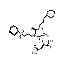 CC(C)N(CCCS(=O)(=O)c1ccccc1)C(=O)NCCCN1CCCCC1.O=C(O)C=CC(=O)O